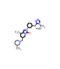 CC(C)C[C@H](c1cccc(-n2cc3c(C(F)(F)F)cc(CN4CCC[C@H](C)C4)cn3c2=O)c1)c1nncn1C